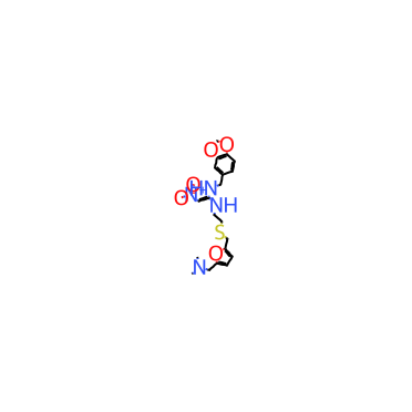 CN(C)Cc1ccc(CSCCN/C(=C/[N+](=O)[O-])NCc2ccc3c(c2)OCO3)o1